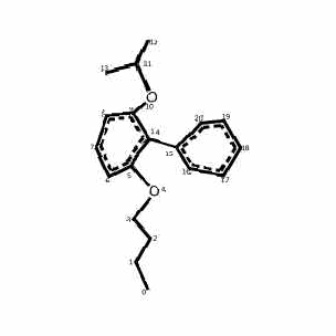 CCCCOc1cc[c]c(OC(C)C)c1-c1ccccc1